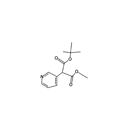 COC(=O)C(C(=O)OC(C)(C)C)c1cccnc1